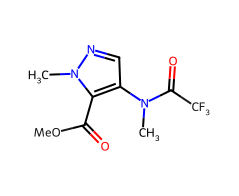 COC(=O)c1c(N(C)C(=O)C(F)(F)F)cnn1C